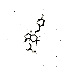 C[C@H]1OC(=O)[C@]2(CCC(N)=O)CC(F)(F)[C@@H](C)[C@H](/C=C/c3ccc(Br)cn3)[C@H]12